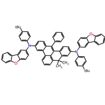 CC(C)(C)c1ccc(N(c2ccc3c(c2)C(C)(C)c2cccc4c2c-3c(-c2ccccc2)c2ccc(N(c3ccc(C(C)(C)C)cc3)c3ccc5oc6ccccc6c5c3)cc24)c2ccc3oc4ccccc4c3c2)cc1